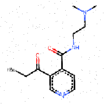 CN(C)CCNC(=O)c1ccncc1C(=O)CC(C)(C)C